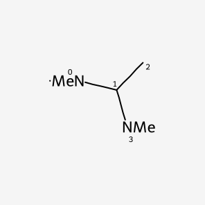 C[N]C(C)NC